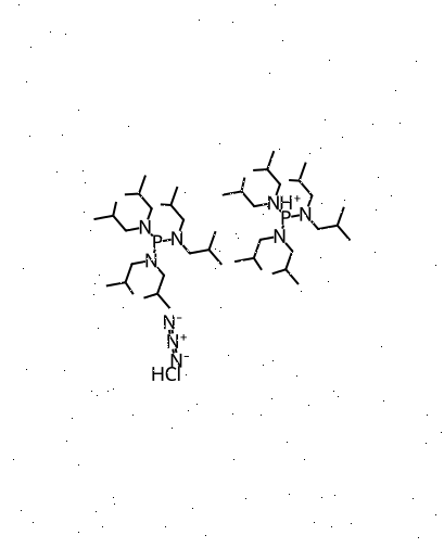 CC(C)CN(CC(C)C)P(N(CC(C)C)CC(C)C)N(CC(C)C)CC(C)C.CC(C)CN(CC(C)C)[PH+](N(CC(C)C)CC(C)C)N(CC(C)C)CC(C)C.Cl.[N-]=[N+]=[N-]